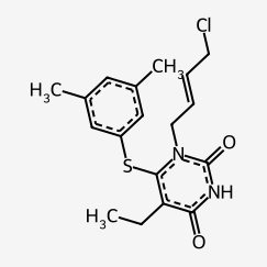 CCc1c(Sc2cc(C)cc(C)c2)n(C/C=C/CCl)c(=O)[nH]c1=O